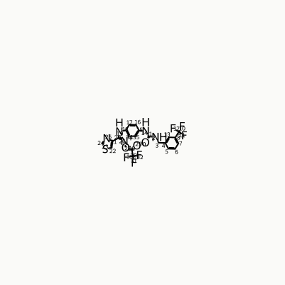 O=C(NCc1cccc(C(F)(F)F)c1)Nc1ccc2[nH]c(-c3cscn3)[n+](OC(=O)C(F)(F)F)c2c1